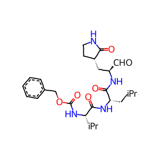 CC(C)C[C@H](NC(=O)[C@@H](NC(=O)OCc1ccccc1)C(C)C)C(=O)N[C@H](C=O)C[C@@H]1CCNC1=O